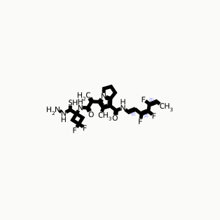 C=C(C(=O)NC1(C(S)NN)CC(F)(F)C1)c1c(C)c(C(=O)N/C=C/C(F)=C(F)\C(F)=C/C)c2n1CCC2